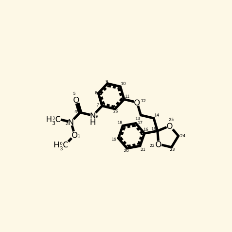 CON(C)C(=O)Nc1cccc(OCCC2(c3ccccc3)OCCO2)c1